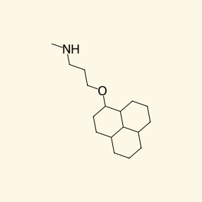 CNCCCOC1CCC2CCCC3CCCC1C32